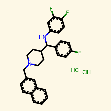 Cl.Cl.Fc1ccc(C(Nc2ccc(F)c(F)c2)C2CCN(Cc3ccc4ccccc4c3)CC2)cc1